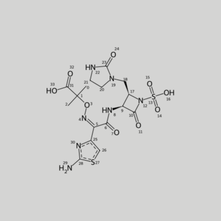 CC(C)(ON=C(C(=O)N[C@@H]1C(=O)N(S(=O)(=O)O)[C@@H]1CN1CCNC1=O)c1csc(N)n1)C(=O)O